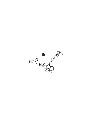 COCCOCC[N+]1=C(C)C(C)(CCCCCC(=O)O)c2ccccc21.[Br-]